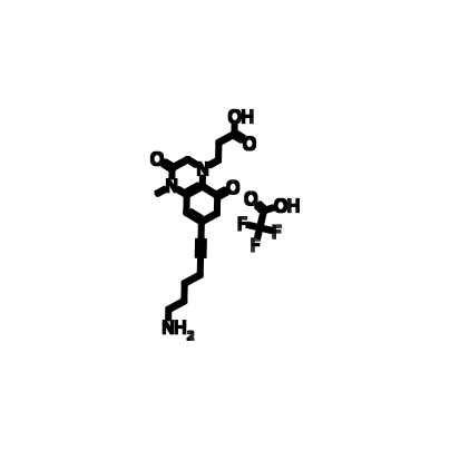 CN1C(=O)CN(CCC(=O)O)C2=C1C=C(C#CCCCCN)CC2=O.O=C(O)C(F)(F)F